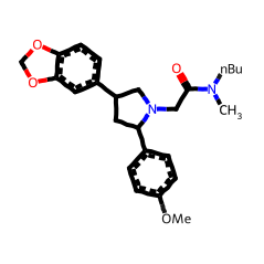 CCCCN(C)C(=O)CN1CC(c2ccc3c(c2)OCO3)CC1c1ccc(OC)cc1